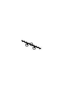 CCCCCC(=O)CCOCCC(=O)CCCCC